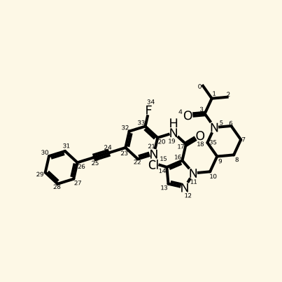 CC(C)C(=O)N1CCCC(Cn2ncc(Cl)c2C(=O)Nc2ncc(C#Cc3ccccc3)cc2F)C1